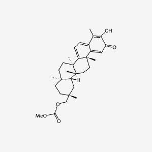 COC(=O)OC[C@]1(C)CC[C@@]2(C)CC[C@@]3(C)C4=CC=C5C(=CC(=O)C(O)=C5C)[C@]4(C)CC[C@]3(C)[C@@H]2C1